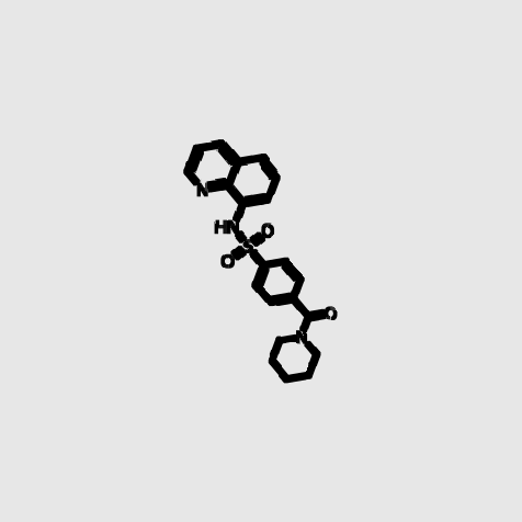 O=C(c1ccc(S(=O)(=O)Nc2cccc3cccnc23)cc1)N1CCCCC1